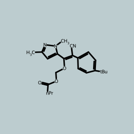 CCCC(=O)OCO/C(=C(/C#N)c1ccc(C(C)(C)C)cc1)c1cc(C)nn1C